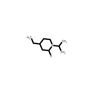 CCC1CCN(C(C)C)C(F)C1